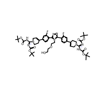 CC(C)(C)OC(=O)/N=C(/NC(=O)OC(C)(C)C)N1CC=C(c2ccc(-c3nnc(-c4ccc(C5=CCN(/C(=N\C(=O)OC(C)(C)C)NC(=O)OC(C)(C)C)CC5)cc4F)n3CCOCCO)c(F)c2)CC1